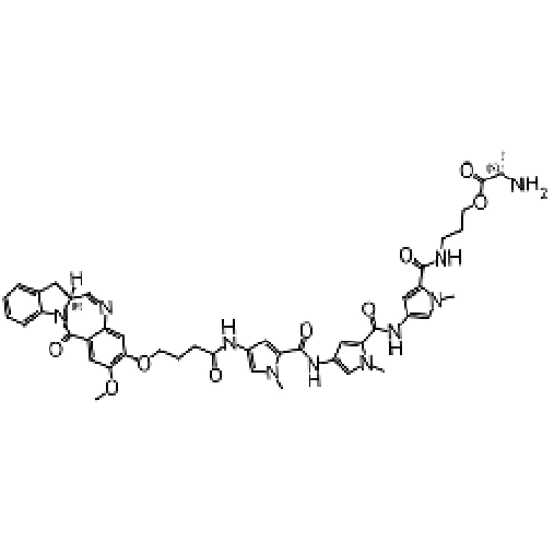 COc1cc2c(cc1OCCCC(=O)Nc1cc(C(=O)Nc3cc(C(=O)Nc4cc(C(=O)NCCCOC(=O)[C@H](C)N)n(C)c4)n(C)c3)n(C)c1)N=C[C@H]1Cc3ccccc3N1C2=O